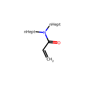 C=CC(=O)N(CCCCCCC)CCCCCCC